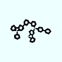 C1=CC2Sc3ccccc3C2C=C1N(c1ccc(-c2ccccc2)cc1)c1cccc(-c2cccc(-c3ccc4c(c3)c3ccccc3n4-c3ccccc3)c2)c1